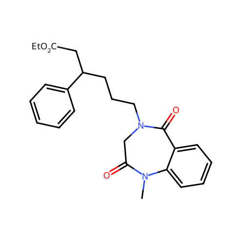 CCOC(=O)CC(CCCN1CC(=O)N(C)c2ccccc2C1=O)c1ccccc1